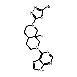 CCC12CN(c3nnc(Br)s3)CCC1CCN(c1ncnc3[nH]ccc13)C2